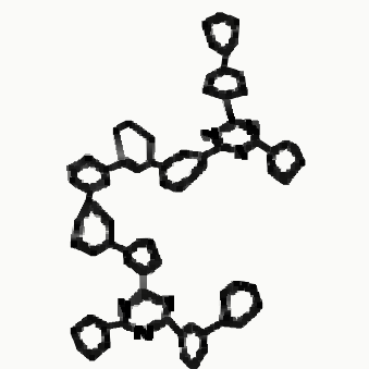 C1=C(c2cccc(-c3nc(-c4ccccc4)nc(-c4ccc(-c5ccccc5)cc4)n3)c2)C=C(c2cccc(-c3cccc(-c4cccc(-c5nc(-c6ccccc6)nc(-c6cccc(-c7ccccc7)c6)n5)c4)c3)c2)CC1